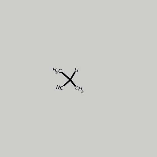 [Li][C](C)(C)C#N